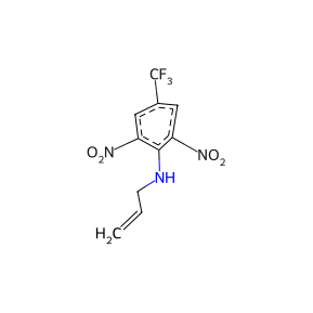 C=CCNc1c([N+](=O)[O-])cc(C(F)(F)F)cc1[N+](=O)[O-]